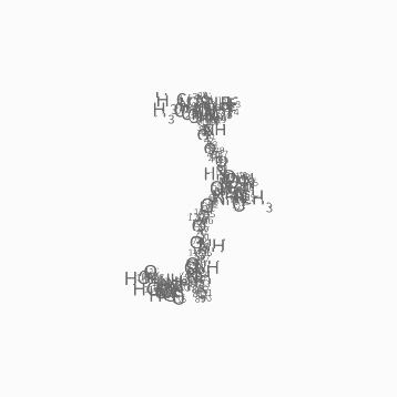 CC(C)N(C)[C@@H]1CC[C@H](N2CC[C@H](Nc3ncnc4ccc(C(F)(F)F)cc34)C2=O)[C@H](NC(=O)C2CCC(NC(=O)CCCOC3CCC(OCCNC(=O)CN(CC(=O)NCCOC4CCC(OCCCC(=O)NC5CCC(C(=O)N[C@@H](Cc6ccc7ccccc7c6)C(=O)NCCCC[C@H](NC(=O)N[C@@H](CCC(=O)O)C(=O)O)C(=O)O)CC5)CC4)C(=O)[C@H]4CC(=O)N(C)[C@@H]4c4cccnc4)CC3)CC2)C1